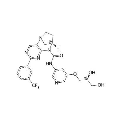 O=C(Nc1cncc(OC[C@@H](O)CO)c1)N1c2nc(-c3cccc(C(F)(F)F)c3)ncc2N2CC[C@H]1C2